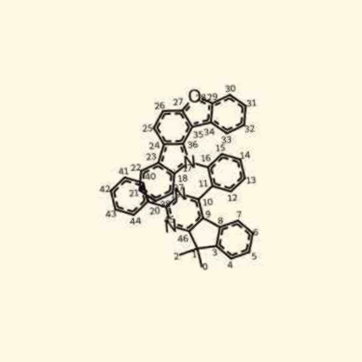 CC1(C)c2ccccc2-c2c(-c3ccccc3-n3c4ccccc4c4ccc5oc6ccccc6c5c43)nc(-c3ccccc3)nc21